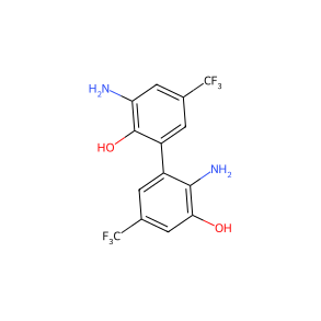 Nc1cc(C(F)(F)F)cc(-c2cc(C(F)(F)F)cc(O)c2N)c1O